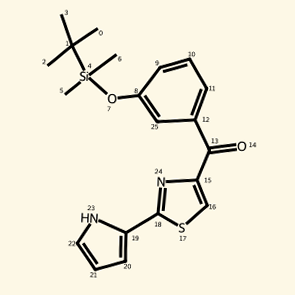 CC(C)(C)[Si](C)(C)Oc1cccc(C(=O)c2csc(-c3ccc[nH]3)n2)c1